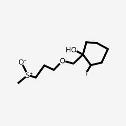 C[S+]([O-])CCCOCC1(O)CCCCC1I